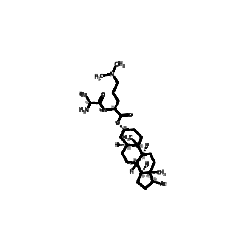 CCC(C)[C@H](N)C(=O)N[C@@H](CCCN(C)C)C(=O)O[C@@H]1CC[C@@]2(C)[C@@H](CC[C@@H]3[C@@H]2CC[C@]2(C)[C@@H](C(C)=O)CC[C@@H]32)C1